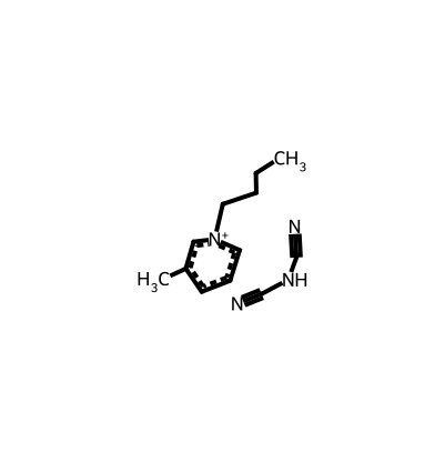 CCCC[n+]1cccc(C)c1.N#CNC#N